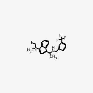 C[C@@H](CI)c1ccc([C@@H](C)NCc2cccc(C(F)(F)F)c2)c2ccccc12